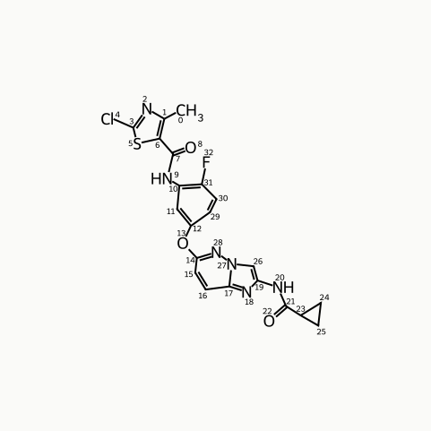 Cc1nc(Cl)sc1C(=O)Nc1cc(Oc2ccc3nc(NC(=O)C4CC4)cn3n2)ccc1F